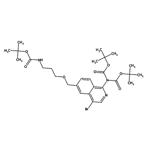 CC(C)(C)OC(=O)NCCCOCc1ccc2c(N(C(=O)OC(C)(C)C)C(=O)OC(C)(C)C)ncc(Br)c2c1